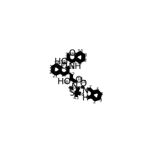 Cc1ccccc1CNC(=O)[C@H]1N(C(=O)[C@@H](O)C[C@@H](Cc2ccccc2)C(=O)N[C@H]2c3ccccc3OC[C@H]2O)CSC1(C)C